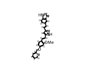 COc1cc(OCc2ccccn2)ccc1C=Cc1cc(C=Cc2ccc3[nH]nnc3c2)n[nH]1